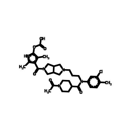 CC(=O)N1CCC(C(=O)N(CCCN2CC3CN(C(=O)c4c(C)[nH]c(OC(=O)O)c4C)CC3C2)c2ccc(C)c(Cl)c2)CC1